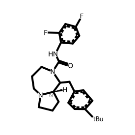 CC(C)(C)c1ccc(CC2[C@@H]3CCCN3CCCN2C(=O)Nc2ccc(F)cc2F)cc1